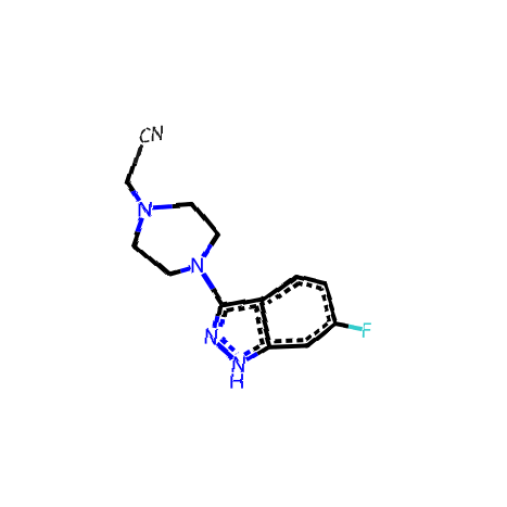 N#CCN1CCN(c2n[nH]c3cc(F)ccc23)CC1